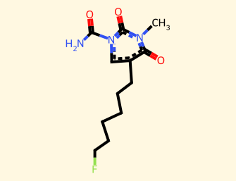 Cn1c(=O)c(CCCCCCF)cn(C(N)=O)c1=O